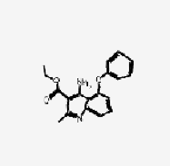 CCOC(=O)c1c(C)nc2cccc(Oc3ccccc3)c2c1N